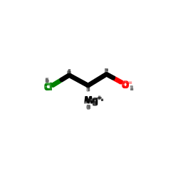 [Mg+].[O-]CCCCl